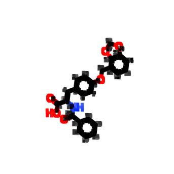 O=C(O)/C(=C/c1ccc(OCc2cccc3c2OCO3)cc1)NC(=O)c1ccccc1